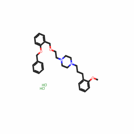 COc1ccccc1CCCN1CCN(CCOCc2ccccc2OCc2ccccc2)CC1.Cl.Cl